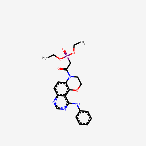 CCOP(=O)(CC(=O)N1CCOc2c1ccc1ncnc(Nc3ccccc3)c21)OCC